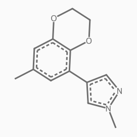 Cc1cc2c(c(-c3cnn(C)c3)c1)OCCO2